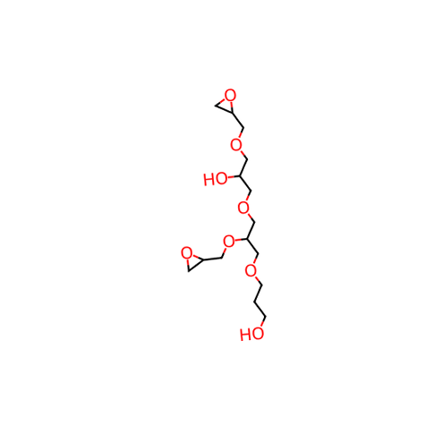 OCCCOCC(COCC(O)COCC1CO1)OCC1CO1